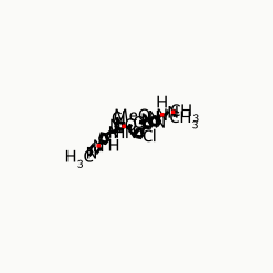 COn1c(=O)c(-c2cc(NC(=O)c3cc(Cl)nc(NCc4ccc(N5CCN(C)CC5)cc4)c3)ccc2Cl)cc2cnc(NCCN(C)C)nc21